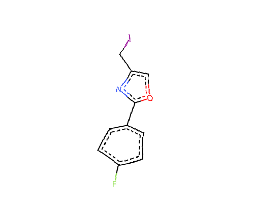 Fc1ccc(-c2nc(CI)co2)cc1